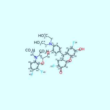 O=C(O)CN(CC(=O)O)c1ccc(-c2c3cc(F)c(=O)cc-3oc3cc(O)c(F)cc23)cc1OCCOc1c(N(CC(=O)O)CC(=O)O)ccc(F)c1F